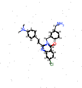 CN(C)c1ccc(C=Cc2nc3cc(Cl)ccc3c(=O)n2Cc2cccc(CN)c2)cc1